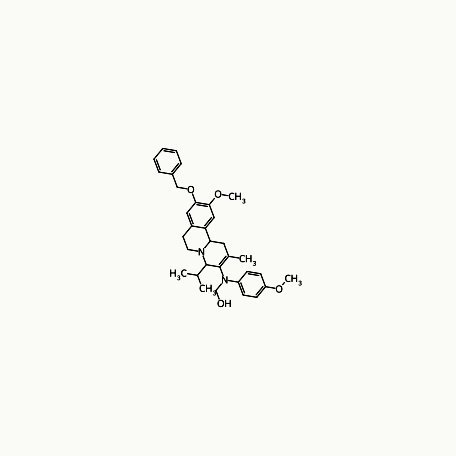 COc1ccc(N(CO)C2=C(C)CC3c4cc(OC)c(OCc5ccccc5)cc4CCN3C2C(C)C)cc1